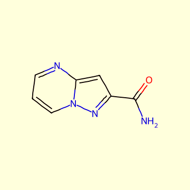 NC(=O)c1cc2ncccn2n1